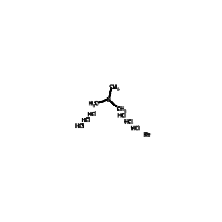 CN(C)C.Cl.Cl.Cl.Cl.Cl.Cl.[Rh]